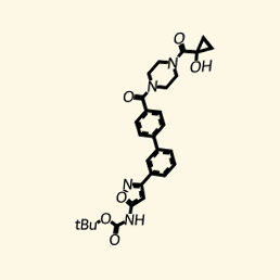 CC(C)(C)OC(=O)Nc1cc(-c2cccc(-c3ccc(C(=O)N4CCN(C(=O)C5(O)CC5)CC4)cc3)c2)no1